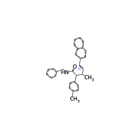 Cc1ccc(C(C(=O)NCc2ccccc2)C(C)/C=C/c2ccc3ccccc3c2)cc1